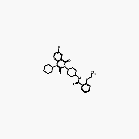 O=C(NC1CCC(n2c(=O)c3cc(F)cnc3n(C3CCSCC3)c2=O)CC1)c1cccnc1OCC(F)(F)F